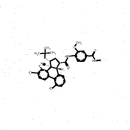 COc1cc(C(=O)NI)ccc1NC(=O)[C@@H]1C[C@@H](CC(C)(C)C)[C@]2(C#N)c3c(ccc(Cl)c3F)-c3c(Cl)cccc3[C@@H]12